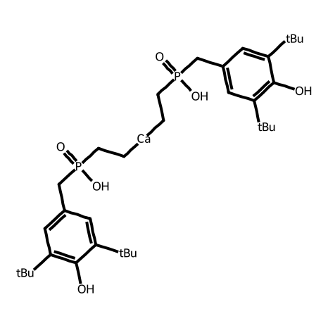 CC(C)(C)c1cc(CP(=O)(O)C[CH2][Ca][CH2]CP(=O)(O)Cc2cc(C(C)(C)C)c(O)c(C(C)(C)C)c2)cc(C(C)(C)C)c1O